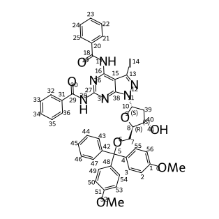 COc1ccc(C(OC[C@H]2O[C@H](n3nc(I)c4c(NC(=O)c5ccccc5)nc(NC(=O)c5ccccc5)nc43)C[C@@H]2O)(c2ccccc2)c2ccc(OC)cc2)cc1